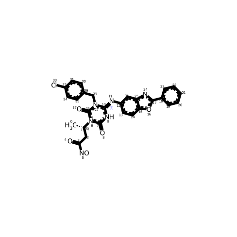 C[C@@H](CC(=O)N=O)n1c(=O)[nH]/c(=N\c2ccc3oc(-c4ccccc4)nc3c2)n(Cc2ccc(Cl)cc2)c1=O